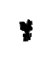 Cc1ccc(CNC(=O)[C@H](CCCCNC(=O)C(C#N)=CC(C)C)NC(=O)[C@H](C)NC(=O)c2cc(C)on2)cc1